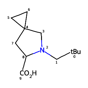 CC(C)(C)CN1CC2(CC2)CC1C(=O)O